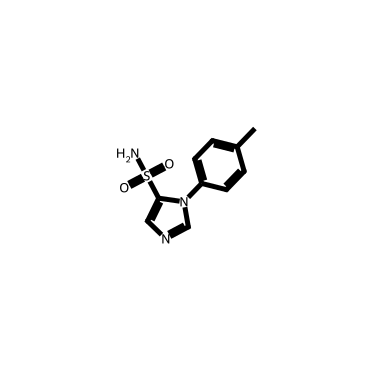 Cc1ccc(-n2cncc2S(N)(=O)=O)cc1